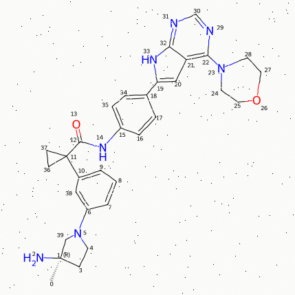 C[C@@]1(N)CCN(c2cccc(C3(C(=O)Nc4ccc(-c5cc6c(N7CCOCC7)ncnc6[nH]5)cc4)CC3)c2)C1